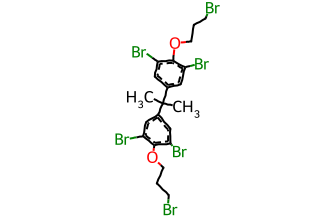 CC(C)(c1cc(Br)c(OCCCBr)c(Br)c1)c1cc(Br)c(OCCCBr)c(Br)c1